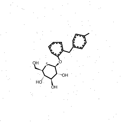 Cc1ccc(Cc2ccccc2O[C@@H]2S[C@H](CO)[C@@H](O)[C@H](O)[C@H]2O)cc1